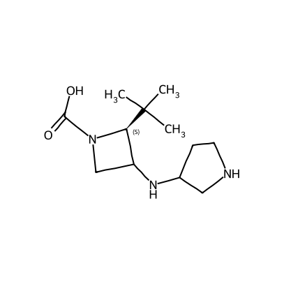 CC(C)(C)[C@H]1C(NC2CCNC2)CN1C(=O)O